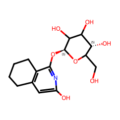 OCC1O[C@@H](Oc2nc(O)cc3c2CCCC3)C(O)C(O)[C@@H]1O